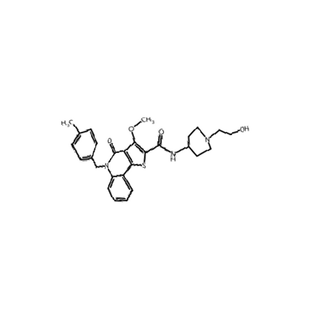 COc1c(C(=O)NC2CCN(CCO)CC2)sc2c1c(=O)n(Cc1ccc(C)cc1)c1ccccc21